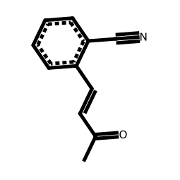 CC(=O)C=Cc1ccccc1C#N